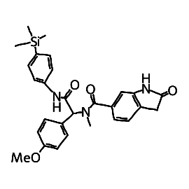 COc1ccc(C(C(=O)Nc2ccc([Si](C)(C)C)cc2)N(C)C(=O)c2ccc3c(c2)NC(=O)C3)cc1